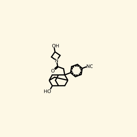 [C-]#[N+]c1ccc(C2(CC(=O)N3CC(O)C3)C3CC4CC2CC(C3)C4O)cc1